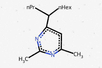 CCCCCCC(CCC)c1cc(C)nc(C)n1